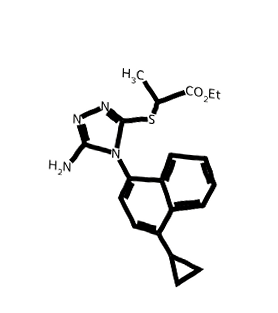 CCOC(=O)C(C)Sc1nnc(N)n1-c1ccc(C2CC2)c2ccccc12